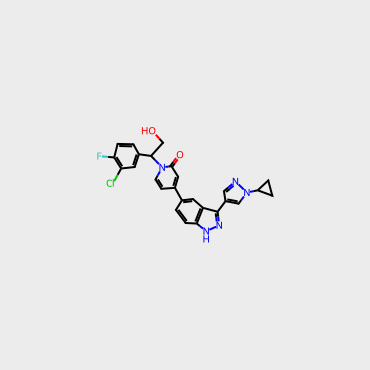 O=c1cc(-c2ccc3[nH]nc(-c4cnn(C5CC5)c4)c3c2)ccn1C(CO)c1ccc(F)c(Cl)c1